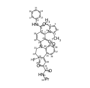 Cc1ccc(C)n1C1=C(C(=O)Nc2ccccc2)C=CC(N2CCC(F)(F)C(=CC(=O)C(=O)NC(C)C)c3ccccc32)C1=C=O